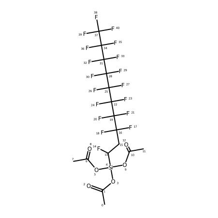 CC(=O)O[Si](OC(C)=O)(OC(C)=O)C(F)CC(F)(F)C(F)(F)C(F)(F)C(F)(F)C(F)(F)C(F)(F)C(F)(F)C(F)(F)F